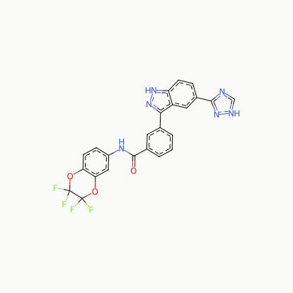 O=C(Nc1ccc2c(c1)OC(F)(F)C(F)(F)O2)c1cccc(-c2n[nH]c3ccc(-c4nc[nH]n4)cc23)c1